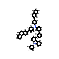 C1=C=C(c2cccc(-c3cccc(N(c4ccc(-c5ccc6ccccc6c5)cc4)c4ccc(-c5ccc6c(ccc7ccccc76)c5)cc4)c3)c2)c2c(n(-c3ccccc3)c3ccccc23)C=1